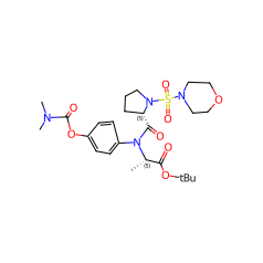 C[C@@H](C(=O)OC(C)(C)C)N(C(=O)[C@@H]1CCCN1S(=O)(=O)N1CCOCC1)c1ccc(OC(=O)N(C)C)cc1